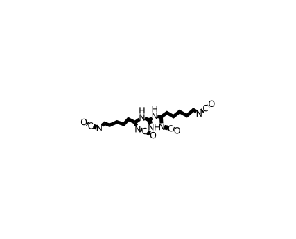 N=C(NC(CCCCCN=C=O)N=C=O)NC(CCCCCN=C=O)N=C=O